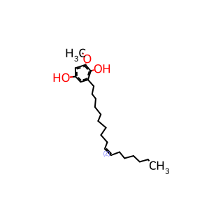 CCCCCC/C=C\CCCCCCCCCc1cc(O)cc(OC)c1O